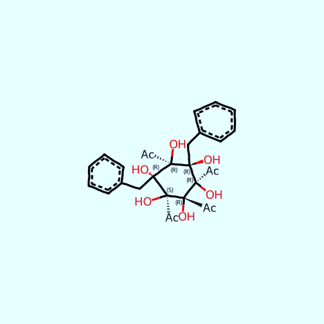 CC(=O)[C@]1(O)[C@](O)(Cc2ccccc2)[C@](O)(C(C)=O)[C@@](O)(C(C)=O)[C@](O)(C(C)=O)[C@@]1(O)Cc1ccccc1